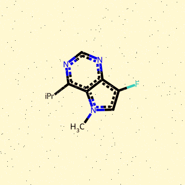 CC(C)c1ncnc2c(F)cn(C)c12